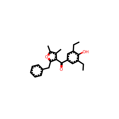 CCc1cc(C(=O)c2c(Cc3ccccc3)oc(C)c2C)cc(CC)c1O